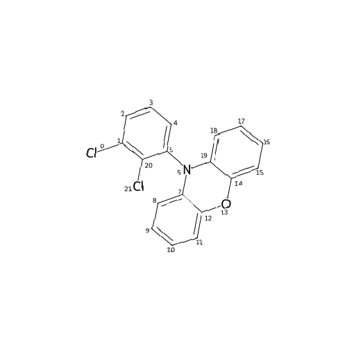 Clc1cccc(N2c3ccccc3Oc3ccccc32)c1Cl